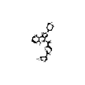 CC1C=CC=NC1c1nn(C2CCOCC2)cc1NC(=O)c1csc(-c2cn[nH]c2)n1